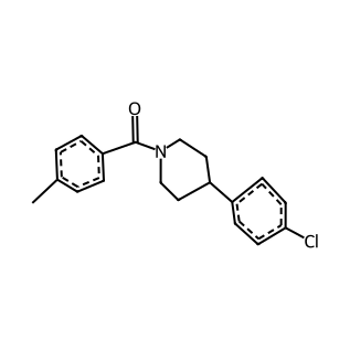 Cc1ccc(C(=O)N2CCC(c3ccc(Cl)cc3)CC2)cc1